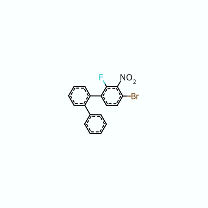 O=[N+]([O-])c1c(Br)ccc(-c2ccccc2-c2ccccc2)c1F